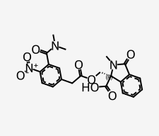 CN(C)C(=O)c1cc(CC(=O)OC[C@@]2(C(=O)O)c3ccccc3C(=O)N2C)ccc1[N+](=O)[O-]